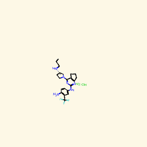 CCCN[C@H]1CCN(c2nc(Nc3ccc(N)c(C(F)(F)F)c3)nc3c2CCC3)C1.Cl.Cl